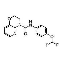 O=C(Nc1ccc(OC(F)F)cc1)N1CCOc2cccnc21